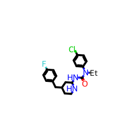 CCN(C(=O)NC1CC(Cc2ccc(F)cc2)CCN1)c1ccc(Cl)cc1